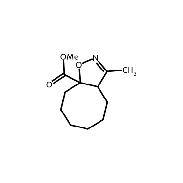 COC(=O)C12CCCCCCC1C(C)=NO2